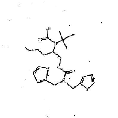 CCCCC(COC(=O)N(Cc1cccs1)Cc1cccs1)N(C(=O)O)C(C)(C)C